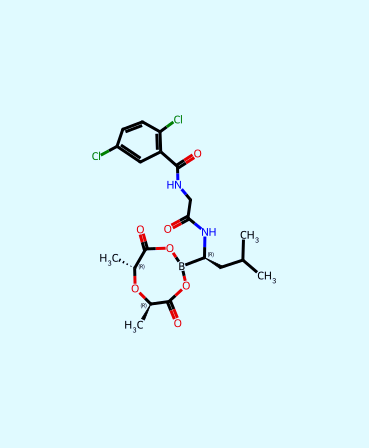 CC(C)C[C@H](NC(=O)CNC(=O)c1cc(Cl)ccc1Cl)B1OC(=O)[C@@H](C)O[C@H](C)C(=O)O1